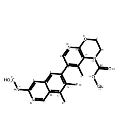 Cc1c(-c2cc3cc(NC(=O)O)ncc3c(C)c2F)cnc2c1N(C(=O)OC(C)(C)C)CCO2